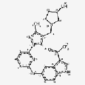 Cc1nn(-c2ccnc(Nc3ccc4[nH]cc(C(=O)C(F)(F)F)c4c3)n2)cc1CN1CC[C@@H](O)C1